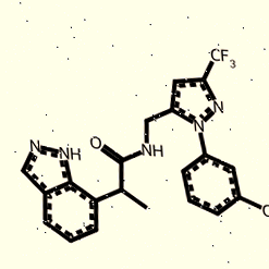 CC(C(=O)NCc1cc(C(F)(F)F)nn1-c1cccc(Cl)c1)c1cccc2cn[nH]c12